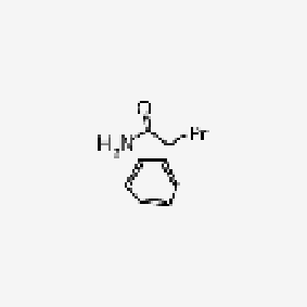 CC(C)CC(N)=O.c1ccccc1